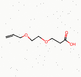 C=CCOCCOCCC(=O)O